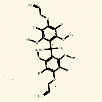 C=CCOc1c(Br)c(OCCC)c(C(C)(C)c2c(OCCC)c(Br)c(OCC=C)c(Br)c2OCCC)c(OCCC)c1Br